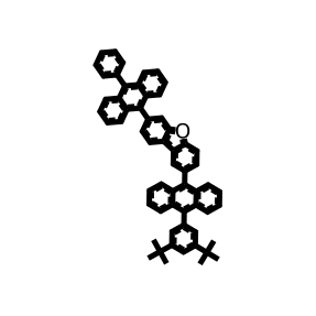 CC(C)(C)c1cc(-c2c3ccccc3c(-c3ccc4oc5cc(-c6c7ccccc7c(-c7ccccc7)c7ccccc67)ccc5c4c3)c3ccccc23)cc(C(C)(C)C)c1